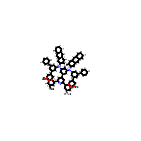 CC(C)(C)c1cc(-c2cc(-c3cc4c5c(c3)N(c3cc(-c6ccccc6)cc(-c6ccccc6)c3)c3cc6cc7ccccc7cc6cc3B5c3cc5cc6ccccc6cc5cc3N4c3cc(-c4ccccc4)cc(-c4ccccc4)c3)cc(-c3cc(C(C)(C)C)cc(C(C)(C)C)c3)n2)cc(C(C)(C)C)c1